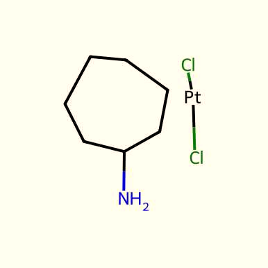 NC1CCCCCC1.[Cl][Pt][Cl]